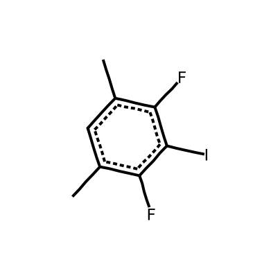 Cc1cc(C)c(F)c(I)c1F